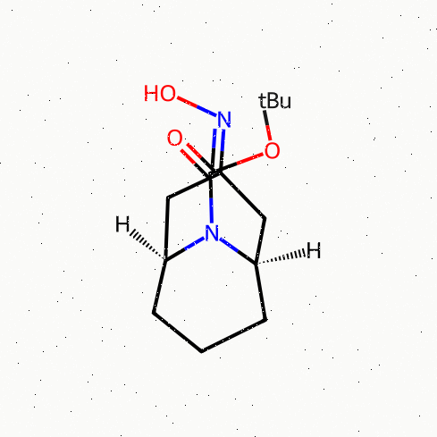 CC(C)(C)OC(=O)N1[C@@H]2CCC[C@H]1C/C(=N\O)C2